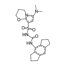 CN(C)c1cc(S(=O)(=O)NC(=O)Nc2c3c(cc4c2CCC4)CCC3)c2n1CCCO2